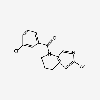 CC(=O)c1cc2c(cn1)N(C(=O)c1cccc(Cl)c1)CCC2